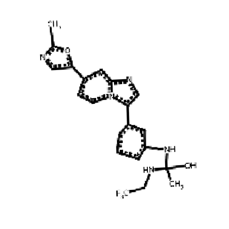 Cc1ncc(-c2ccn3c(-c4cccc(NC(C)(O)NCC(F)(F)F)c4)cnc3c2)o1